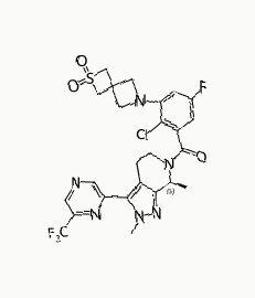 C[C@H]1c2nn(C)c(-c3cncc(C(F)(F)F)n3)c2CCN1C(=O)c1cc(F)cc(N2CC3(C2)CS(=O)(=O)C3)c1Cl